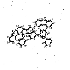 c1ccc(-c2nc(-c3ccccc3)nc(-c3cccc4sc5ccc(-c6ccc7c(c6)c6ccc8sc9ccccc9c8c6n7-c6ccccc6)cc5c34)n2)cc1